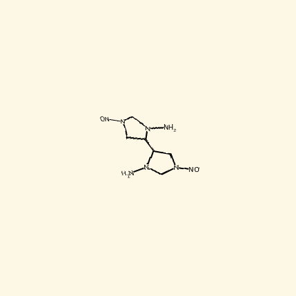 NN1CN(N=O)CC1C1CN(N=O)CN1N